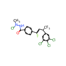 CN(Cl)NC(=O)c1ccc(/C(F)=C/C(c2cc(Cl)c(Cl)c(Cl)c2)C(F)(F)F)cc1